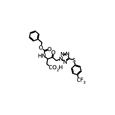 O=C(O)CC(NC(=O)OCc1ccccc1)C(=O)Cn1nnc(Sc2ccc(C(F)(F)F)cc2)n1